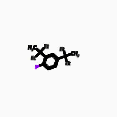 CCC(C)(CC)c1ccc(I)c(C(C)(CC)CC)c1